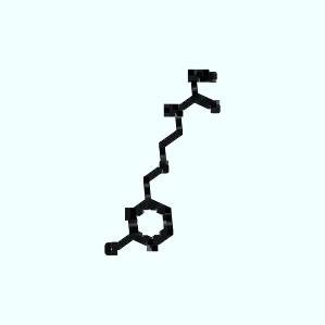 CNC(=S)NCCSCc1ccnc(Cl)n1